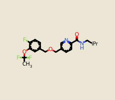 CC(C)CNC(=O)c1ccc(COCc2ccc(F)c(OC(C)(F)F)c2)cn1